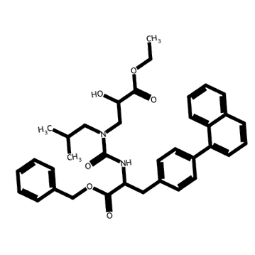 CCOC(=O)C(O)CN(CC(C)C)C(=O)NC(Cc1ccc(-c2cccc3ccccc23)cc1)C(=O)OCc1ccccc1